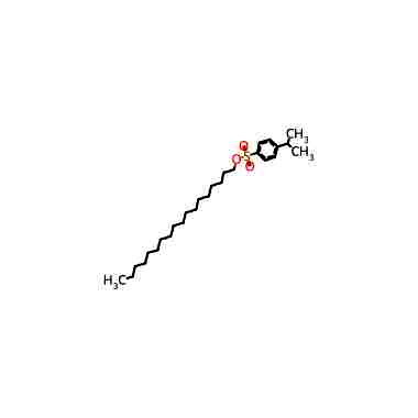 CCCCCCCCCCCCCCCCCCOS(=O)(=O)c1ccc(C(C)C)cc1